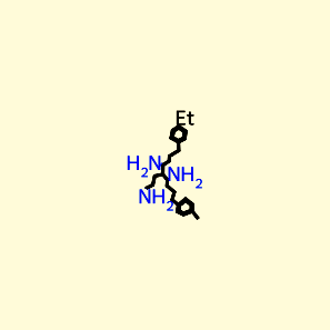 CCc1ccc(CCCC(N)C(CCCN)C(N)CCCc2ccc(C)cc2)cc1